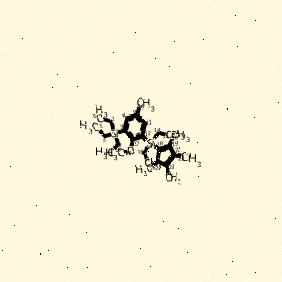 CC[Si](CC)(CC)c1cc(C)cc([Si](CC)(CC)C2=C(C)C(C)=C(C)C2C)c1OC